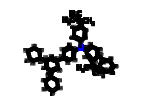 CC(C)(C)c1ccc(N(c2ccc(-c3cc(C4CCCCC4)cc(C4CCCCC4)c3)cc2)c2ccc3c(c2)C(C)(C)c2ccccc2-3)cc1